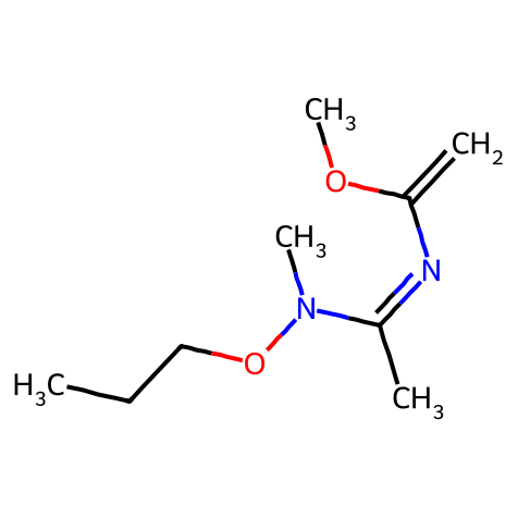 C=C(/N=C(/C)N(C)OCCC)OC